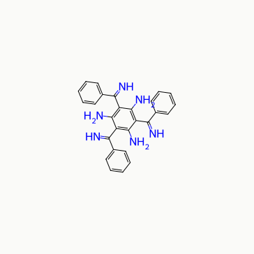 N=C(c1ccccc1)c1c(N)c(C(=N)c2ccccc2)c(N)c(C(=N)c2ccccc2)c1N